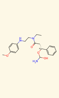 CCN(CCNc1ccc(OC)cc1)C(=O)C[C@@H](OC(N)O)c1ccccc1